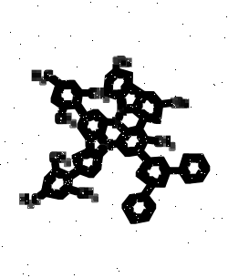 Cc1cc(C)c(-c2ccc3c(c2)c2cc(-c4c(C)cc(C)cc4C)cc4c2n3-c2cc(-c3cc(-c5ccccc5)cc(-c5ccccc5)c3)c(C)c3c2B4n2c4ccc(C(C)(C)C)cc4c4cc(C(C)(C)C)cc-3c42)c(C)c1